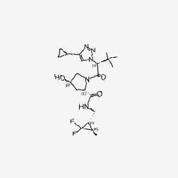 C[C@@H]1[C@@H](CNC(=O)[C@@H]2C[C@@H](O)CN2C(=O)[C@@H](n2cc(C3CC3)nn2)C(C)(C)C)C1(F)F